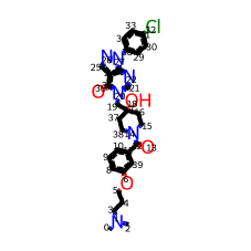 CN(C)CCCOc1cccc(C(=O)N2CCC(O)(Cn3cnc4c(cnn4-c4ccc(Cl)cc4)c3=O)CC2)c1